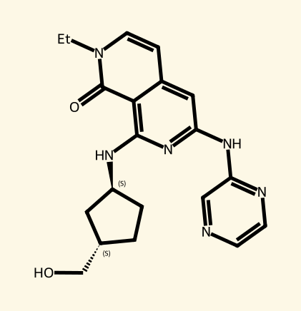 CCn1ccc2cc(Nc3cnccn3)nc(N[C@H]3CC[C@H](CO)C3)c2c1=O